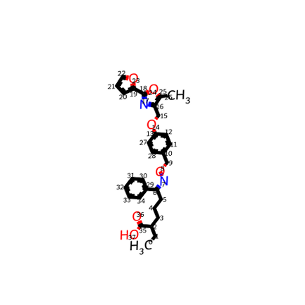 CCC(CCCC(=NOCc1ccc(OCc2nc(-c3ccco3)oc2C)cc1)c1ccccc1)C(=O)O